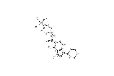 Cc1nn(C2CCSCC2)c2ncc(C(=O)Nc3ccc(C(F)(F)F)cc3)c(Cl)c12